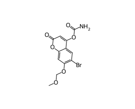 COCOc1cc2oc(=O)cc(OC(N)=O)c2cc1Br